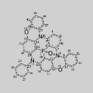 O=P12c3c4cccc3N3c5ccccc5Oc5ccc(c1c53)N(c1ccccc1)c1ccc3c(c12)N4c1ccccc1O3